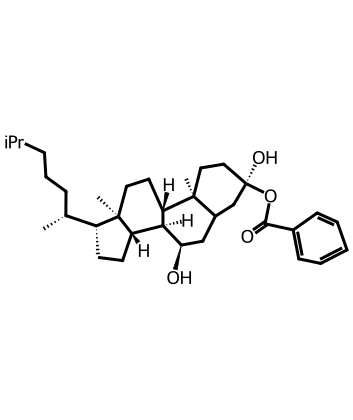 CC(C)CCC[C@@H](C)[C@H]1CC[C@H]2[C@@H]3[C@H](O)CC4C[C@](O)(OC(=O)c5ccccc5)CC[C@]4(C)[C@H]3CC[C@]12C